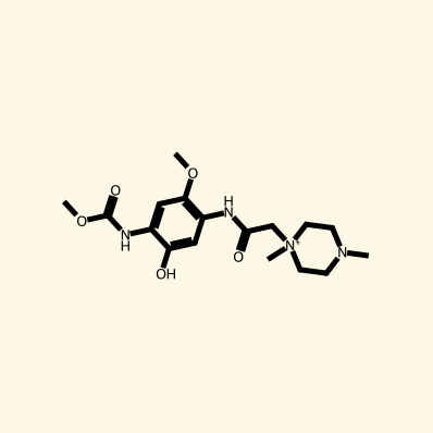 COC(=O)Nc1cc(OC)c(NC(=O)C[N+]2(C)CCN(C)CC2)cc1O